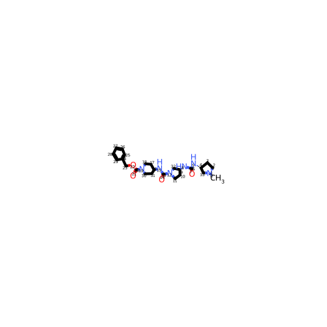 CN1CC[C@@H](NC(=O)N[C@@H]2CCN(C(=O)NC3CCN(C(=O)OCc4ccccc4)CC3)C2)C1